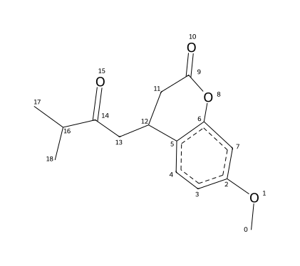 COc1ccc2c(c1)OC(=O)CC2CC(=O)C(C)C